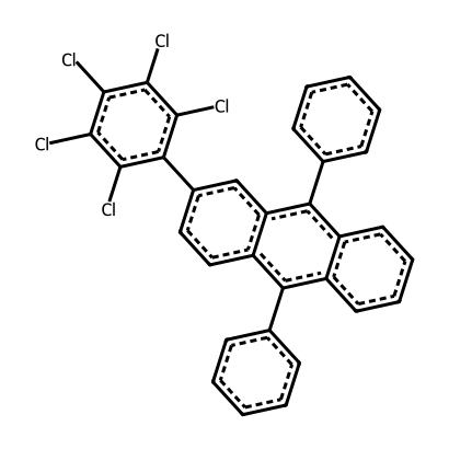 Clc1c(Cl)c(Cl)c(-c2ccc3c(-c4ccccc4)c4ccccc4c(-c4ccccc4)c3c2)c(Cl)c1Cl